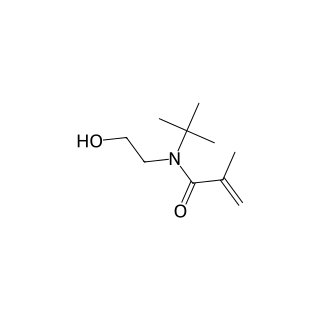 C=C(C)C(=O)N(CCO)C(C)(C)C